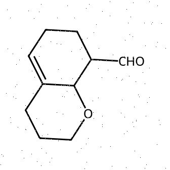 O=CC1CCC=C2CCCOC21